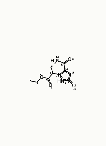 CCOC(=O)C(C)n1[nH]c(=O)cc1C(N)=O